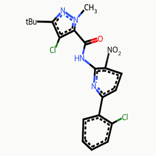 Cn1nc(C(C)(C)C)c(Cl)c1C(=O)Nc1nc(-c2ccccc2Cl)ccc1[N+](=O)[O-]